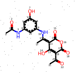 CC(=O)Nc1cc(O)cc(N/C(C)=C2\C(=O)OC(=O)C(C(C)=O)=C2O)c1